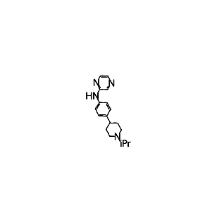 CC(C)N1CCC(c2ccc(Nc3cnccn3)cc2)CC1